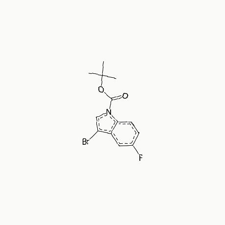 CC(C)(C)OC(=O)n1cc(Br)c2cc(F)ccc21